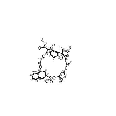 COC(=O)c1c2c3ccc(Cl)c(c3n1C)-c1c(nn(C)c1C)CN(C)Cc1cc(n(C)n1)CS(=O)(=O)c1cc(c3ccccc3c1)OCCC2